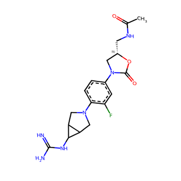 CC(=O)NC[C@H]1CN(c2ccc(N3CC4C(C3)C4NC(=N)N)c(F)c2)C(=O)O1